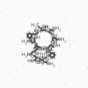 CCC(C)C1NC(=O)C(Cc2ccccc2)NC(=O)C(CCN)NC(=O)C(NC(=O)C(CCN)NC(=O)C(NC(=O)C(CCN)NC(=O)Nc2ccccc2Cl)C(C)O)CCNC(=O)C(C(C)O)NC(=O)C(CCN)NC(=O)C(CCN)NC1=O